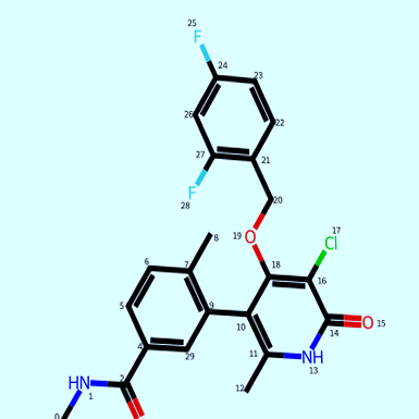 CNC(=O)c1ccc(C)c(-c2c(C)[nH]c(=O)c(Cl)c2OCc2ccc(F)cc2F)c1